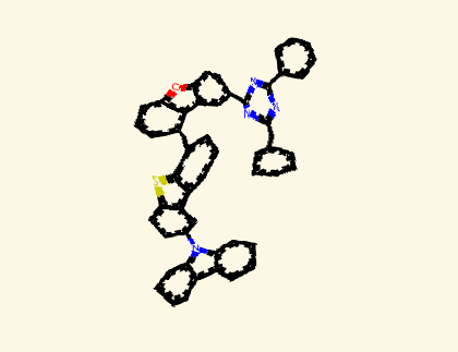 c1ccc(-c2nc(-c3ccccc3)nc(-c3ccc4oc5cccc(-c6cccc7c6sc6ccc(-n8c9ccccc9c9ccccc98)cc67)c5c4c3)n2)cc1